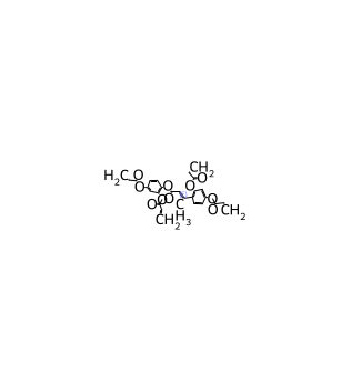 C=CC(=O)Oc1ccc(OC(=O)/C=C(\C)c2ccc(OC(=O)C=C)cc2OC(=O)C=C)c(OC(=O)C=C)c1